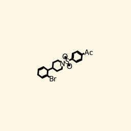 CC(=O)c1ccc(S(=O)(=O)N2CCC(C3C=CCC=C3Br)CC2)cc1